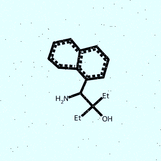 CCC(O)(CC)C(N)c1cccc2ccccc12